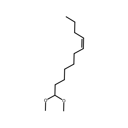 CCC/C=C\CCCCCC(OC)OC